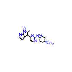 Cc1[nH]c2ncccc2c1-c1ccnc(NC2CCC(N)CC2)n1